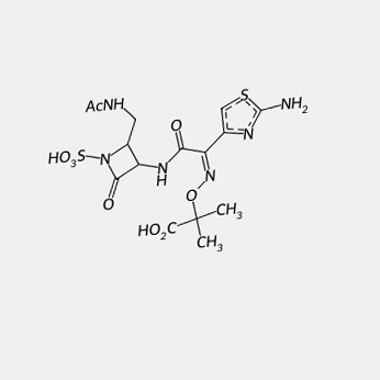 CC(=O)NCC1C(NC(=O)C(=NOC(C)(C)C(=O)O)c2csc(N)n2)C(=O)N1S(=O)(=O)O